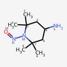 CC1(C)CC(N)CC(C)(C)N1N=O